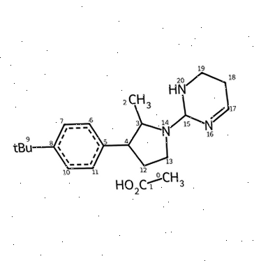 CC(=O)O.CC1C(c2ccc(C(C)(C)C)cc2)CCN1C1N=CCCN1